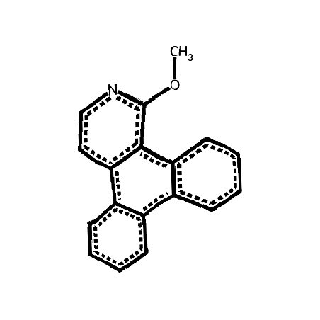 COc1nccc2c3ccccc3c3ccccc3c12